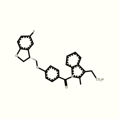 Cc1c(CC(=O)O)c2ccccc2n1C(=O)c1ccc(OC[C@@H]2COc3ccc(F)cc32)cc1